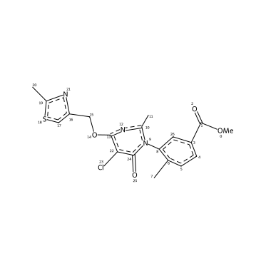 COC(=O)c1ccc(C)c(-n2c(C)nc(OCc3csc(C)n3)c(Cl)c2=O)c1